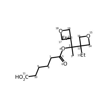 CCC1(C(C)(OC(=O)CCCCC(=O)O)C2(CC)COC2)COC1